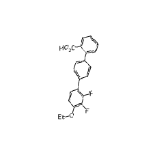 CCOc1ccc(-c2ccc(-c3ccccc3C(=O)O)cc2)c(F)c1F